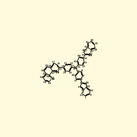 c1csc2cc(-c3ccc(N(c4ccc(-c5ccc6ccc7cccnc7c6n5)cc4)c4ccc(-c5nc6ccccc6s5)cc4)cc3)cc-2c1